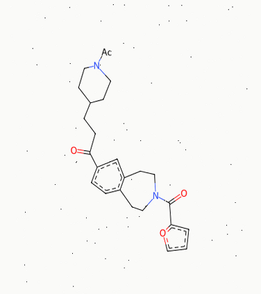 CC(=O)N1CCC(CCC(=O)c2ccc3c(c2)CCN(C(=O)c2ccco2)CC3)CC1